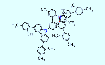 Cc1ccc(-c2ccc3c(c2)c2cc(-c4ccc(C)cc4C)ccc2n3-c2ccc(-c3cc(C(F)(F)F)cc(C(F)(F)F)c3)c(-c3cc(C#N)ccc3-n3c4ccc(-c5ccc(C)cc5C)cc4c4cc(-c5ccc(C)cc5C)ccc43)c2)c(C)c1